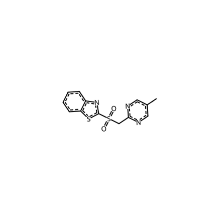 Cc1cnc(CS(=O)(=O)c2nc3ccccc3s2)nc1